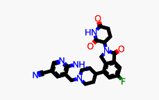 N#Cc1cnc(N)c(CN2CCC(c3cc(F)cc4c3CN(C3CCC(=O)NC3=O)C4=O)CC2)c1